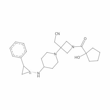 N#CCC1(N2CCC(N[C@@H]3CC3c3ccccc3)CC2)CN(C(=O)C2(O)CCCC2)C1